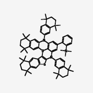 CC1(C)CCC(C)(C)c2cc(N3c4cc5c(cc4B4c6c3cc(-c3ccccc3[Si](C)(C)C)cc6N(c3ccc6c(c3)C(C)(C)CCC6(C)C)c3sc6cc7c(cc6c34)C(C)(C)CCC7(C)C)C(C)(C)CCC5(C)C)ccc21